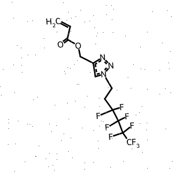 C=CC(=O)OCc1cn(CCC(F)(F)C(F)(F)C(F)(F)C(F)(F)F)nn1